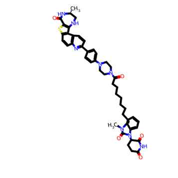 C[C@@H]1CNc2c(sc3ccc4nc(-c5ccc(N6CCN(C(=O)CCCCCCCc7cccc8c7n(C)c(=O)n8C7CCC(=O)NC7=O)CC6)cc5)ccc4c23)C(=O)N1